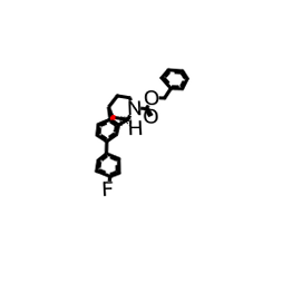 O=C(OCc1ccccc1)N1CCC2C[C@@H]1c1cc(-c3ccc(F)cc3)ccc12